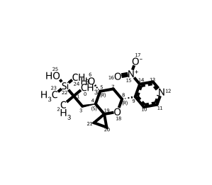 CC(C)(C[C@H]1[C@H](O)C[C@H](c2ccncc2[N+](=O)[O-])OC12CC2)[Si](C)(C)O